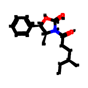 CC[C@H](C)CCC(=O)N1C(=O)O[C@@H](c2ccccc2)[C@H]1C